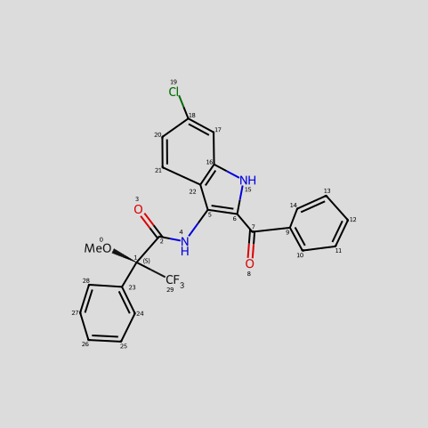 CO[C@](C(=O)Nc1c(C(=O)c2ccccc2)[nH]c2cc(Cl)ccc12)(c1ccccc1)C(F)(F)F